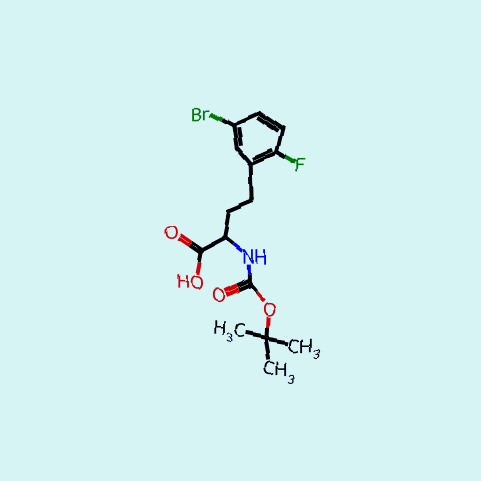 CC(C)(C)OC(=O)NC(CCc1cc(Br)ccc1F)C(=O)O